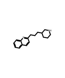 c1ccc2nc(CCCC3CCCNC3)ccc2c1